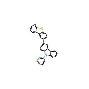 [c]1ccc2c(c1)c1cc(-c3ccc4sc5ccccc5c4c3)ccc1n2-c1ccccc1